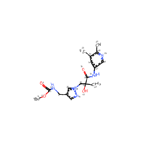 CC(C)(C)OC(=O)NCc1cnn(CC(C)(O)C(=O)Nc2cnc(C#N)c(C(F)(F)F)c2)c1